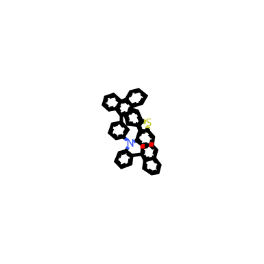 c1cc(-c2cc3ccccc3c3ccccc23)cc(N(c2ccccc2-c2cccc3ccccc23)c2cccc3sc4ccccc4c23)c1